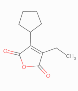 CCC1=C(C2CCCC2)C(=O)OC1=O